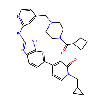 O=C(C1CCC1)N1CCN(Cc2ccnc(Nc3nc4ccc(-c5ccn(CC6CC6)c(=O)c5)cc4[nH]3)c2)CC1